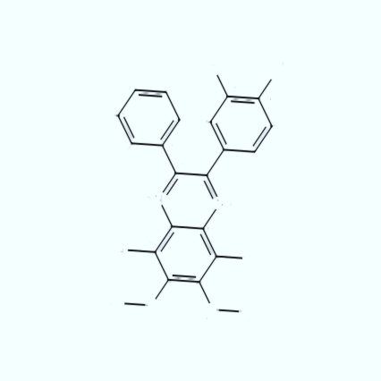 CCCCCCCCOc1c(OCCCCCCCC)c(Br)c2nc(-c3ccc(F)c(F)c3)c(-c3ccccc3)nc2c1Br